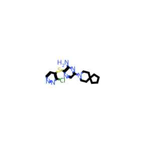 Nc1nc(N2CCC3(CCCC3)CC2)cnc1Sc1ccnnc1Cl